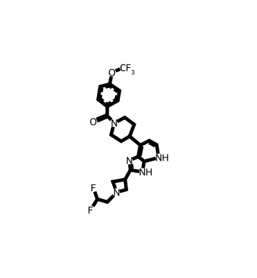 O=C(c1ccc(OC(F)(F)F)cc1)N1CCC(C2=C3N=C(C4CN(CC(F)F)C4)NC3NC=C2)CC1